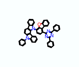 c1ccc(-c2nc(-c3ccccc3)nc(-c3ccc(-n4c5ccccc5c5ccc6c(c7ccccc7n6-c6ccccc6)c54)c4oc5ccccc5c34)n2)cc1